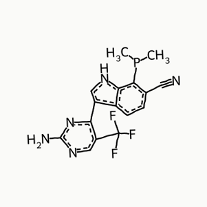 CP(C)c1c(C#N)ccc2c(-c3nc(N)ncc3C(F)(F)F)c[nH]c12